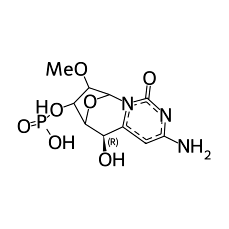 COC1C(O[PH](=O)O)C2OC1n1c(cc(N)nc1=O)[C@H]2O